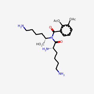 CC(=O)Oc1cccc(C(=O)N(C(=O)[C@@H](N)CCCCN)[C@@H](CCCCN)C(=O)O)c1OC(C)=O